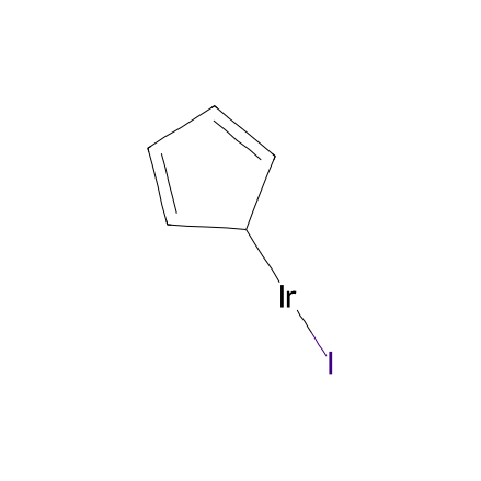 [I][Ir][CH]1C=CC=C1